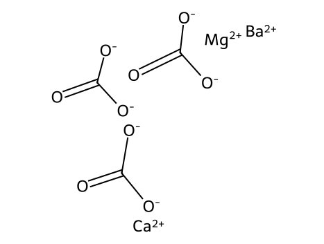 O=C([O-])[O-].O=C([O-])[O-].O=C([O-])[O-].[Ba+2].[Ca+2].[Mg+2]